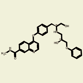 CNC(=O)c1ccc2c(Oc3ccc(C[C@@H](CO)NC[C@H](O)COc4ccccc4)cc3)ccnc2c1